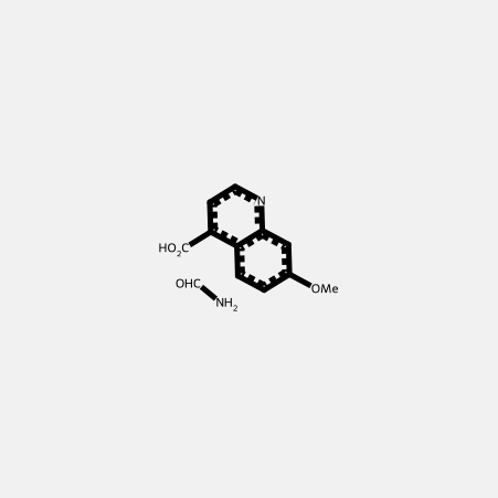 COc1ccc2c(C(=O)O)ccnc2c1.NC=O